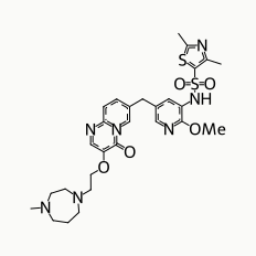 COc1ncc(Cc2ccc3ncc(OCCN4CCCN(C)CC4)c(=O)n3c2)cc1NS(=O)(=O)c1sc(C)nc1C